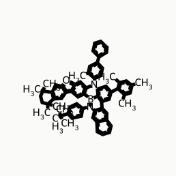 Cc1cc(C)c(-c2cc3c4c(c2)N(c2ccc(-c5ccccc5)cc2C)c2cc5oc6cc7c(cc6c5cc2B4N(c2ccc(C(C)(C)C)cc2)c2cc4ccccc4cc2-3)C(C)(C)CCC7(C)C)c(C)c1